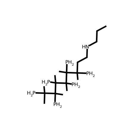 CCCNCCC(C)(P)C(C)(P)C(C)(P)C(C)(P)C(C)(P)C(C)(C)P